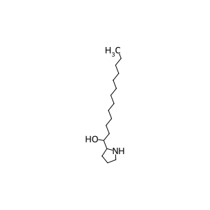 CCCCCCCCCCCCC(O)C1CCCN1